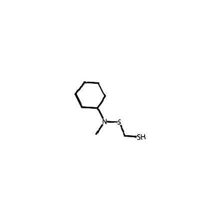 CN(SCS)C1CCCCC1